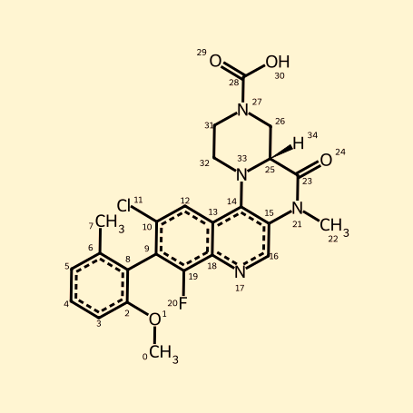 COc1cccc(C)c1-c1c(Cl)cc2c3c(cnc2c1F)N(C)C(=O)[C@H]1CN(C(=O)O)CCN31